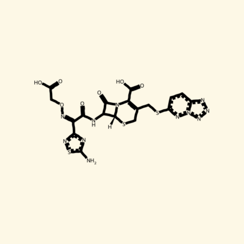 Nc1nc(/C(=N/OCC(=O)O)C(=O)NC2C(=O)N3C(C(=O)O)=C(CSc4ccc5nnnn5n4)CS[C@H]23)ns1